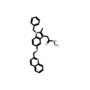 Cc1c(CC(=O)NN)c2cc(OCc3ccc4ccccc4n3)ccc2n1Cc1ccccc1